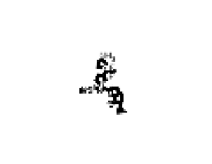 COc1c(C2CC2)ccc2ccc(-c3nnc4ccc([C@@H](N5CC[C@H](N)C5)C(F)(F)F)cn34)nc12.Cl.Cl